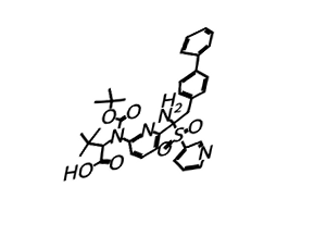 CC(C)(C)OC(=O)N(c1cccc(C(N)(Cc2ccc(-c3ccccc3)cc2)S(=O)(=O)c2cccnc2)n1)C(C(=O)O)C(C)(C)C